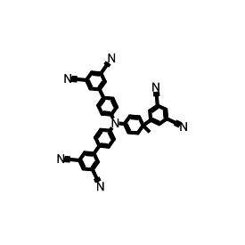 CC1(c2cc(C#N)cc(C#N)c2)C=CC(N(c2ccc(-c3cc(C#N)cc(C#N)c3)cc2)c2ccc(-c3cc(C#N)cc(C#N)c3)cc2)=CC1